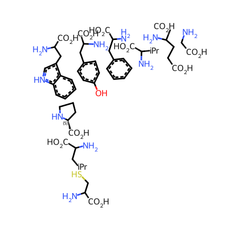 CC(C)C(N)C(=O)O.CC(C)CC(N)C(=O)O.NC(CCC(=O)O)C(=O)O.NC(CS)C(=O)O.NC(Cc1c[nH]c2ccccc12)C(=O)O.NC(Cc1ccc(O)cc1)C(=O)O.NC(Cc1ccccc1)C(=O)O.NCC(=O)O.O=C(O)[C@@H]1CCCN1